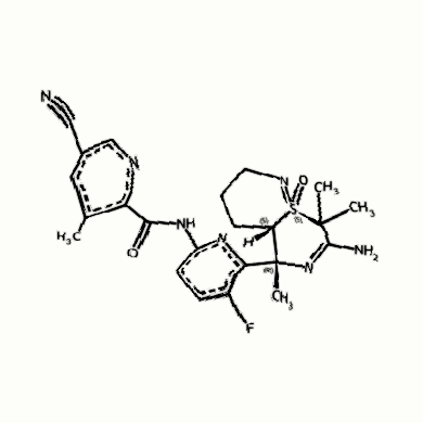 Cc1cc(C#N)cnc1C(=O)Nc1ccc(F)c([C@@]2(C)N=C(N)C(C)(C)[S@]3(=O)=NCCC[C@@H]23)n1